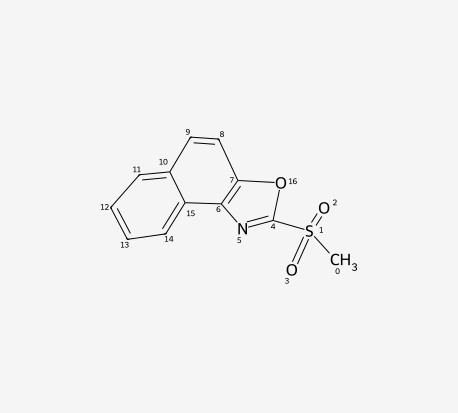 CS(=O)(=O)c1nc2c(ccc3ccccc32)o1